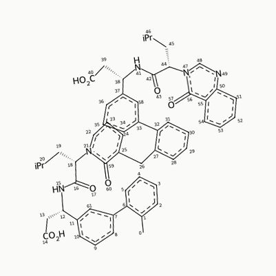 Cc1ccccc1-c1cccc([C@H](CC(=O)O)NC(=O)[C@H](CC(C)C)n2cccc(Cc3ccccc3-c3cccc([C@H](CC(=O)O)NC(=O)[C@H](CC(C)C)n4cnc5ccccc5c4=O)c3)c2=O)c1